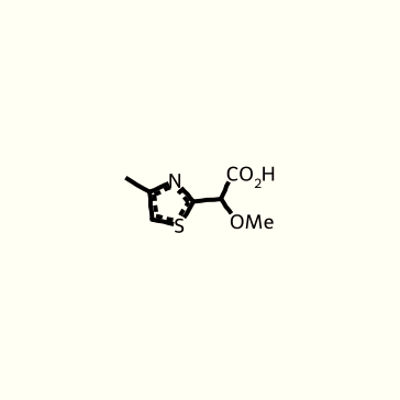 COC(C(=O)O)c1nc(C)cs1